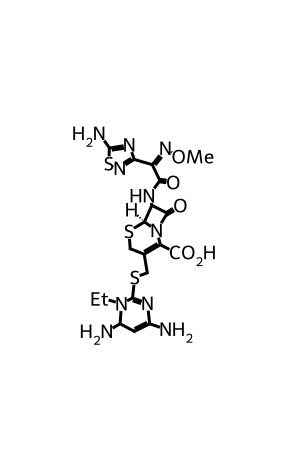 CCN1C(SCC2=C(C(=O)O)N3C(=O)C(NC(=O)/C(=N\OC)c4nsc(N)n4)[C@@H]3SC2)=NC(N)=CC1N